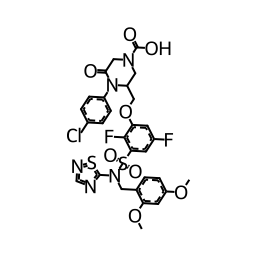 COc1ccc(CN(c2ncns2)S(=O)(=O)c2cc(F)cc(OCC3CN(C(=O)O)CC(=O)N3c3ccc(Cl)cc3)c2F)c(OC)c1